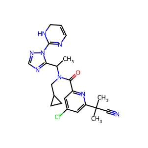 CC(c1ncnn1C1=NC=CCN1)N(CC1CC1)C(=O)c1cc(Cl)cc(C(C)(C)C#N)n1